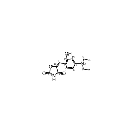 CCN(CC)c1ccc(C=C2OC(=O)NC2=O)c(O)c1